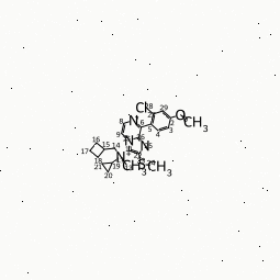 COc1ccc(-c2nccn3c([N+](C)(CC4CCC4)C4CC4)c(SC)nc23)c(Cl)c1